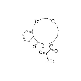 NC(=O)C(=O)[C@@H]1CCCCOCCOCc2ccccc2C(=O)N1